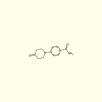 NC(=O)c1ccc(N2CCC(=O)CC2)cc1